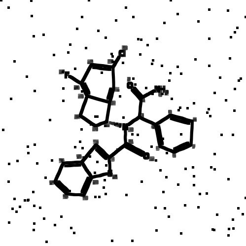 NC(=O)C(c1ccccc1)N(C(=O)c1cc2ccccc2s1)[C@@H]1CCc2c(F)cc(Cl)cc21